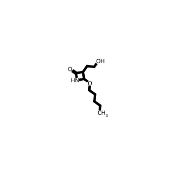 CCCCCOC1NC(=O)C1CCO